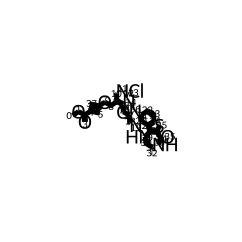 COC(=O)C12CC(OCc3cnc(Cl)nc3Oc3cnc4c(ccc5sc6c(c54)NC[C@@H](C)NC6=O)n3)(C1)C2